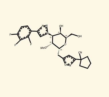 CO[C@@H]1[C@@H](n2cc(-c3ccc(F)c(F)c3F)nn2)[C@@H](O)[C@@H](CO)O[C@@H]1Cc1cc(C2(C#N)CCCC2)no1